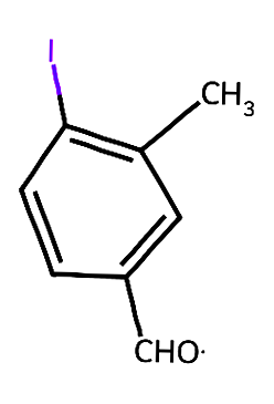 Cc1cc([C]=O)ccc1I